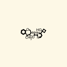 CN1C(=O)[C@@H](NC(=O)c2nccc(C3(O)CCC3)n2)COc2ccccc21